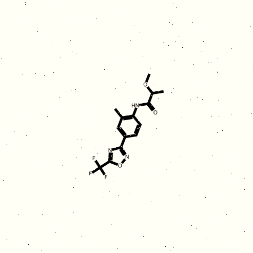 COC(C)C(=O)Nc1ccc(-c2noc(C(F)(F)F)n2)cc1C